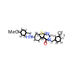 COc1ccc(CNC2CCc3c(sc4ncn(Cc5cccc(C(F)(F)F)c5)c(=O)c34)C2)cc1